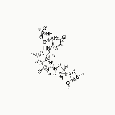 COc1nn(C)cc1C1[C@H]2CN(c3nc4c([C@@H](C)Nc5ccc(Cl)nc5C(=O)NS(C)(=O)=O)cc(C)cc4c(=O)n3C)C[C@@H]12